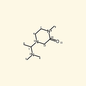 CC(N(C)C)N1CCN(C)C(=O)C1